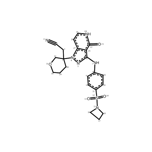 N#CCC1(n2nc(Nc3ccc(S(=O)(=O)N4CCC4)cc3)c3c(=O)[nH]ccc32)CCCOC1